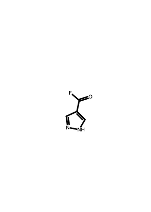 O=C(F)c1cn[nH]c1